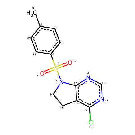 Cc1ccc(S(=O)(=O)N2CCc3c(Cl)ncnc32)cc1